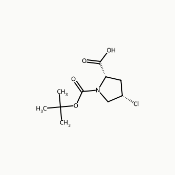 CC(C)(C)OC(=O)N1C[C@@H](Cl)C[C@H]1C(=O)O